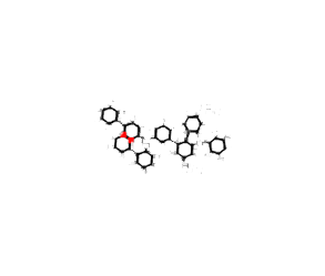 CC(C)(C)c1ccc2c3c(-c4cccc(N(c5ccc(-c6ccccc6)cc5)c5ccccc5-c5ccccc5)c4)cc(C(C)(C)C)cc3n(-c3ccccc3)c2c1